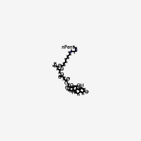 CCCCC/C=C\C/C=C\CCCCCCCC(=O)OC(CCN(C)C)COC(=O)CCC(=O)OCC(=O)[C@]12OC13CC(O)C1C(CCC4=CC(=O)C=CC41C)[C@@H]3C[C@H]2C